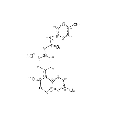 Cl.O=C(CN1CCC(N2C(=O)OCc3cc(Cl)ccc32)CC1)Nc1ccc(Cl)cc1